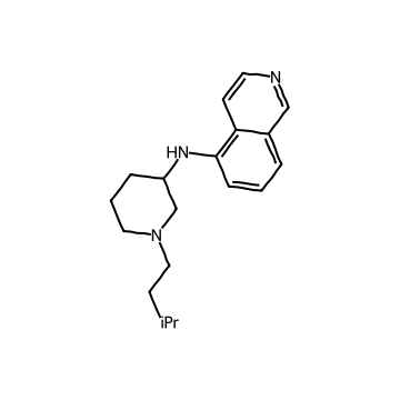 CC(C)CCN1CCCC(Nc2cccc3cnccc23)C1